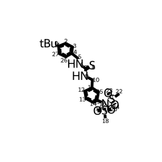 CC(C)(C)c1ccc(CNC(=S)NCc2cccc(N(S(C)(=O)=O)S(C)(=O)=O)c2)cc1